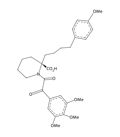 COc1ccc(CCCC[C@@]2(C(=O)O)CCCCN2C(=O)C(=O)c2cc(OC)c(OC)c(OC)c2)cc1